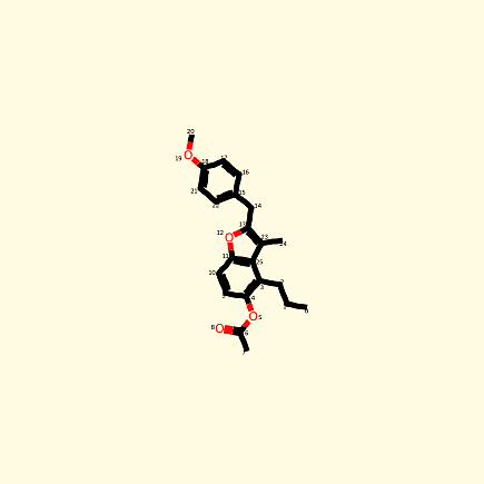 CCCc1c(OC(C)=O)ccc2oc(Cc3ccc(OC)cc3)c(C)c12